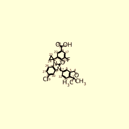 CC1(C)OCc2cc(-n3c(=O)n(C4(c5cc(F)cc(C(=O)O)c5)CC4)c4ccc(Cl)cc43)ccc21